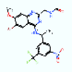 COc1cc2nc(CNC=O)nc(NC(C)c3cc([N+](=O)[O-])cc(C(F)(F)F)c3)c2cc1Br